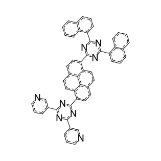 c1cncc(-c2nc(-c3cccnc3)nc(-c3ccc4ccc5c(-c6nc(-c7cccc8ccccc78)nc(-c7cccc8ccccc78)n6)ccc6ccc3c4c65)n2)c1